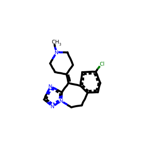 CN1CCC(=C2c3cc(Cl)ccc3CCn3ncnc32)CC1